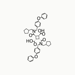 O=C(O)[C@H]1[C@H](C(=O)N(Cc2ccc(Oc3ccccc3)cc2)CC2CCCC2)[C@H](C(=O)O)[C@H]1C(=O)N(Cc1ccc(Oc2ccccc2)cc1)CC1CCCC1